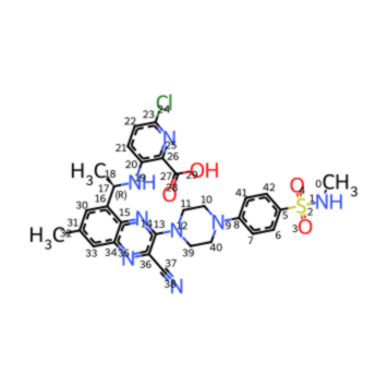 CNS(=O)(=O)c1ccc(N2CCN(c3nc4c([C@@H](C)Nc5ccc(Cl)nc5C(=O)O)cc(C)cc4nc3C#N)CC2)cc1